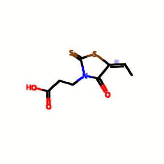 C/C=C1/SC(=S)N(CCC(=O)O)C1=O